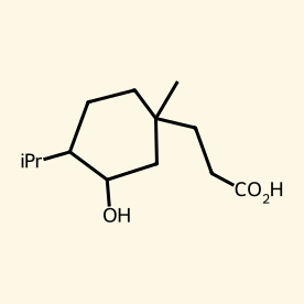 CC(C)C1CCC(C)(CCC(=O)O)CC1O